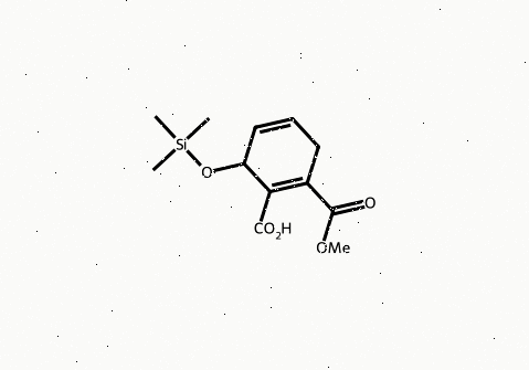 COC(=O)C1=C(C(=O)O)C(O[Si](C)(C)C)C=CC1